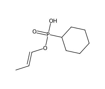 CC=COP(=O)(O)C1CCCCC1